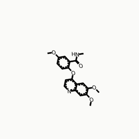 CNC(=O)c1cc(OC)ccc1Oc1ccnc2cc(OC)c(OC)cc12